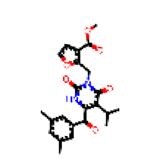 COC(=O)c1ccoc1Cn1c(=O)[nH]c(C(=O)c2cc(C)cc(C)c2)c(C(C)C)c1=O